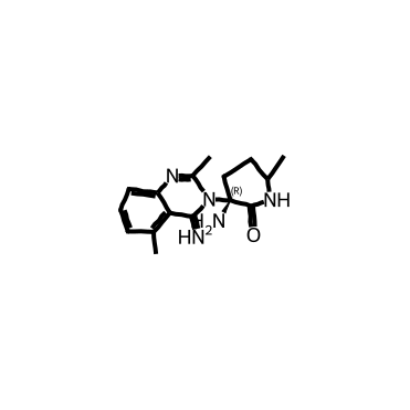 Cc1cccc2nc(C)n([C@]3(N)CCC(C)NC3=O)c(=N)c12